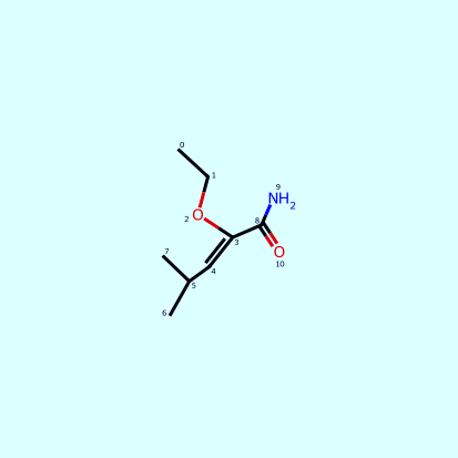 CCO/C(=C\C(C)C)C(N)=O